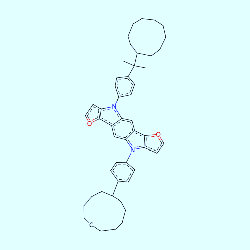 CC(C)(c1ccc(-n2c3cc4c5occc5n(-c5ccc(C6CCCCCCCCCC6)cc5)c4cc3c3occc32)cc1)C1CCCCCCCCC1